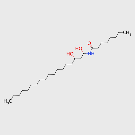 CCCCCCCCCCCCCCCC(O)CC(O)NC(=O)CCCCCCC